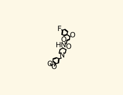 O=C(NC1CCN(Cc2ccc3c(c2)OCO3)CC1)c1cc(=O)c2ccc(F)cc2o1